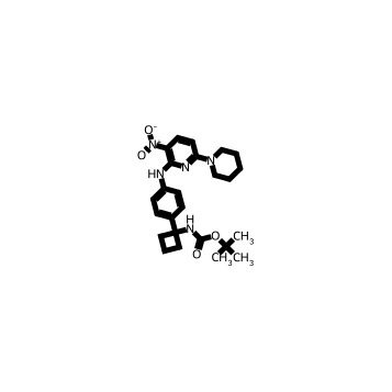 CC(C)(C)OC(=O)NC1(c2ccc(Nc3nc(N4CCCCC4)ccc3[N+](=O)[O-])cc2)CCC1